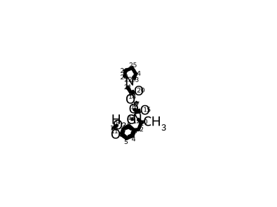 CC(Cc1ccc2c(c1)OCO2)N(C)C(=O)OCOC(=O)CN1CCCCC1